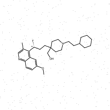 COc1ccc2ncc(C)c([C@H](F)CCC3(CO)CCN(CCC4CCCCC4)CC3)c2c1